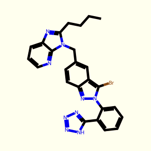 CCCCc1nc2cccnc2n1Cc1ccc2nn(-c3ccccc3-c3nnn[nH]3)c(Br)c2c1